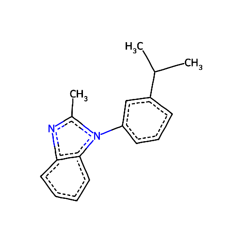 Cc1nc2ccccc2n1-c1cccc(C(C)C)c1